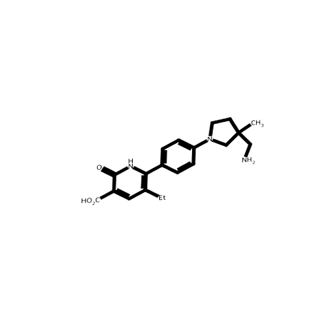 CCc1cc(C(=O)O)c(=O)[nH]c1-c1ccc(N2CCC(C)(CN)C2)cc1